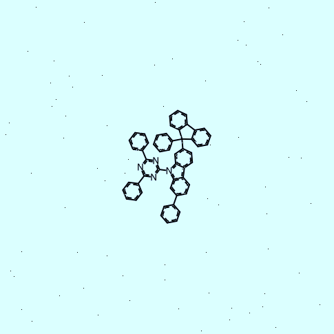 c1ccc(-c2ccc3c4ccc(C5(c6ccccc6)c6ccccc6-c6ccccc65)cc4n(-c4nc(-c5ccccc5)nc(-c5ccccc5)n4)c3c2)cc1